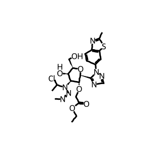 CCOC(=O)CO[C@@H]1[C@@H](N(/N=N\C)C(C)Cl)[C@@H](O)[C@@H](CO)O[C@H]1c1ncnn1-c1ccc2nc(C)sc2c1